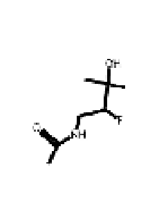 CC(=O)NCC(F)C(C)(C)O